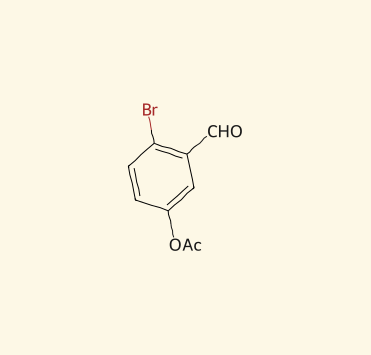 CC(=O)Oc1ccc(Br)c(C=O)c1